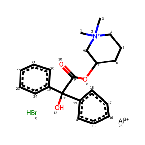 Br.C[N+]1(C)CCCC(OC(=O)C(O)(c2ccccc2)c2ccccc2)C1.[Al+3]